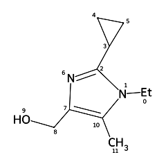 CCn1c(C2CC2)nc(CO)c1C